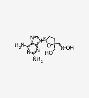 Nc1nc(N)c2ncn([C@H]3CCC(C=NO)(CO)O3)c2n1